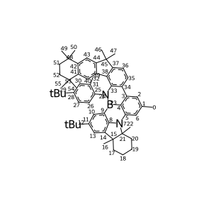 Cc1cc2c3c(c1)N1c4c(cc(C(C)(C)C)cc4C4(C)CCCCC14C)B3N(c1ccc(C(C)(C)C)cc1C)c1c-2ccc2c1-c1cc3c(cc1C2(C)C)C(C)(C)CCC3(C)C